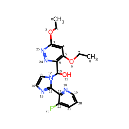 CCOc1cc(OCC)c(C(O)n2ccnc2-c2ncccc2F)nn1